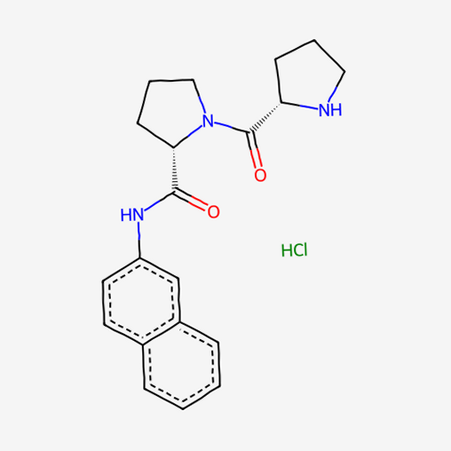 Cl.O=C(Nc1ccc2ccccc2c1)[C@@H]1CCCN1C(=O)[C@@H]1CCCN1